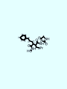 CC(C)CC(C(=O)NN1C(=O)CNC1=O)C(CCCc1ccccc1)C(=O)NO